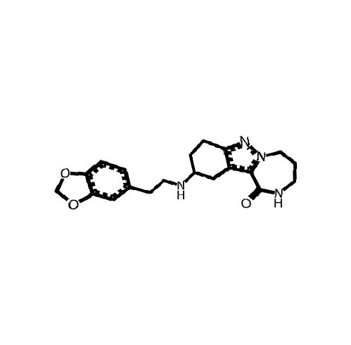 O=C1NCCCn2nc3c(c21)CC(NCCc1ccc2c(c1)OCO2)CC3